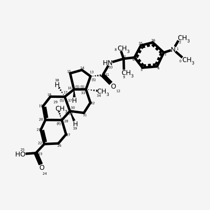 CN(C)c1ccc(C(C)(C)NC(=O)[C@H]2CC[C@H]3[C@@H]4CC=C5C=C(C(=O)O)CC[C@]5(C)[C@H]4CC[C@]23C)cc1